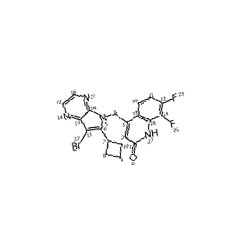 O=c1cc(Cn2c(C3CCC3)c(Br)c3nccnc32)c2ccc(F)c(F)c2[nH]1